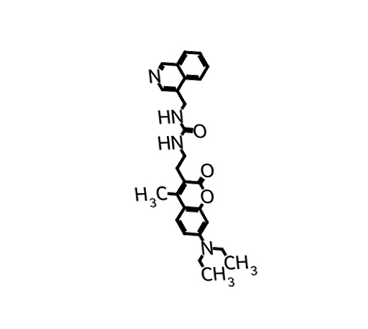 CCN(CC)c1ccc2c(C)c(CCNC(=O)NCc3cncc4ccccc34)c(=O)oc2c1